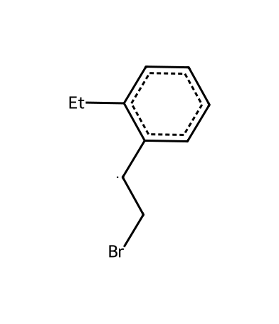 CCc1ccccc1[CH]CBr